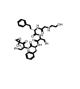 CC(C)CC(NC(=O)[C@H](CCc1ccccc1)NC(=O)CNCCO)C(=O)N[C@@H](Cc1ccccc1)C(=O)NC(CC(C)C)C(=O)C1(C)CO1